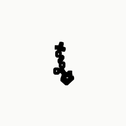 CC(C)(C)OCCOC(=O)c1cccs1